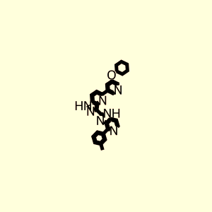 Cc1cccc(-c2nccc3[nH]c(-c4n[nH]c5ccc(-c6cncc(OC7CCCCC7)c6)nc45)nc23)c1